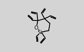 C=CC1(C=C)CC[Si](C=C)(C=C)OC1(C=C)C=C